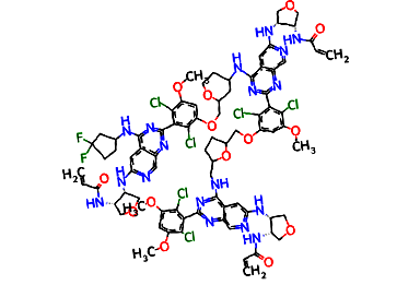 C=CC(=O)N[C@H]1COC[C@H]1Nc1cc2c(NCC3CCC(COc4cc(OC)c(Cl)c(-c5nc(NC6CCOC(COc7cc(OC)c(Cl)c(-c8nc(NC9CCC(F)(F)C9)c9cc(N[C@@H]%10COC[C@@H]%10NC(=O)C=C)ncc9n8)c7Cl)C6)c6cc(N[C@@H]7COC[C@@H]7NC(=O)C=C)ncc6n5)c4Cl)O3)nc(-c3c(Cl)c(OC)cc(OC)c3Cl)nc2cn1